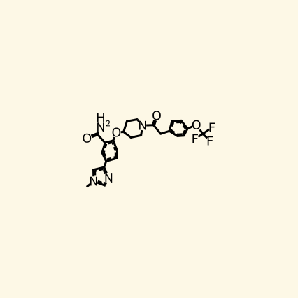 Cn1cnc(-c2ccc(OC3CCN(C(=O)Cc4ccc(OC(F)(F)F)cc4)CC3)c(C(N)=O)c2)c1